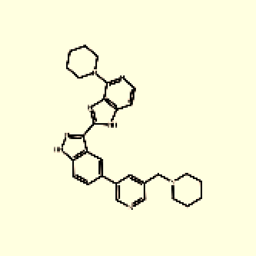 c1cc2[nH]c(-c3n[nH]c4ccc(-c5cncc(CN6CCCCC6)c5)cc34)nc2c(N2CCCCC2)n1